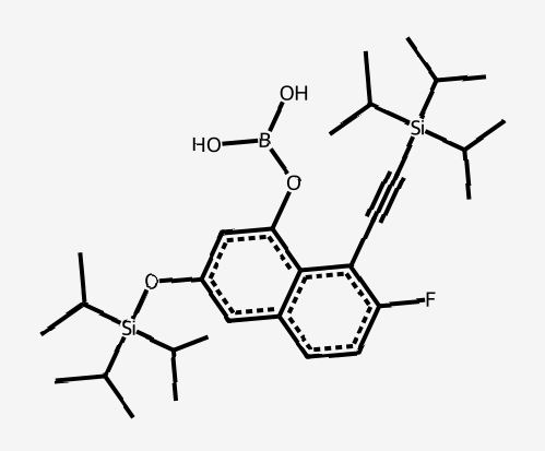 CC(C)[Si](C#Cc1c(F)ccc2cc(O[Si](C(C)C)(C(C)C)C(C)C)cc(OB(O)O)c12)(C(C)C)C(C)C